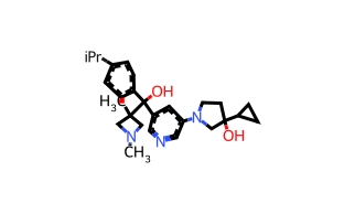 CC(C)c1ccc(C(O)(c2cncc(N3CCC(O)(C4CC4)C3)c2)C2(C)CN(C)C2)cc1